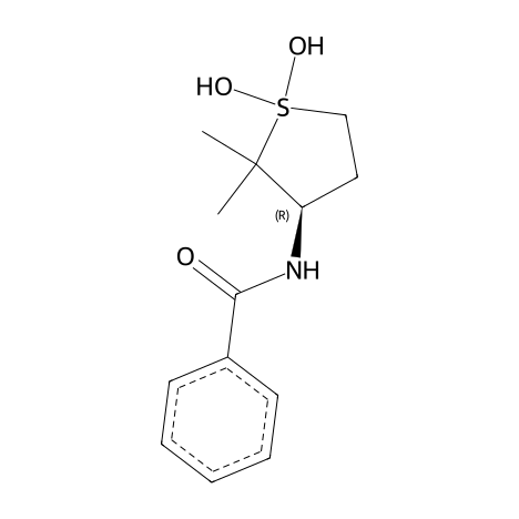 CC1(C)[C@H](NC(=O)c2ccccc2)CCS1(O)O